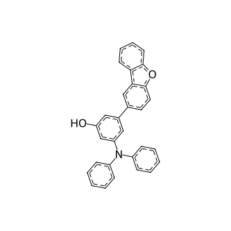 Oc1cc(-c2ccc3oc4ccccc4c3c2)cc(N(c2ccccc2)c2ccccc2)c1